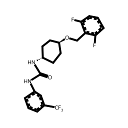 O=C(Nc1cccc(C(F)(F)F)c1)N[C@H]1CC[C@H](OCc2c(F)cccc2F)CC1